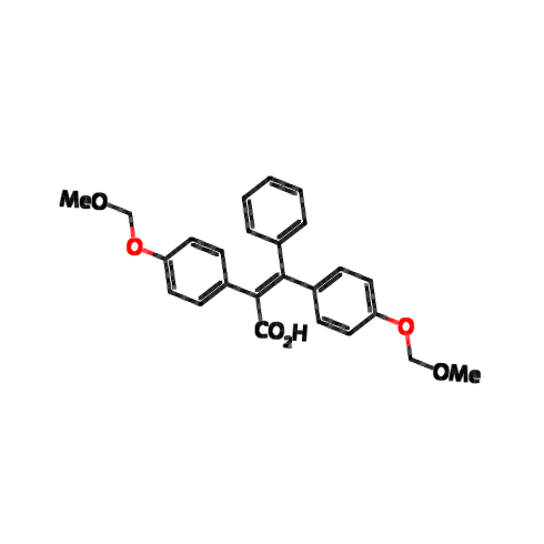 COCOc1ccc(/C(C(=O)O)=C(\c2ccccc2)c2ccc(OCOC)cc2)cc1